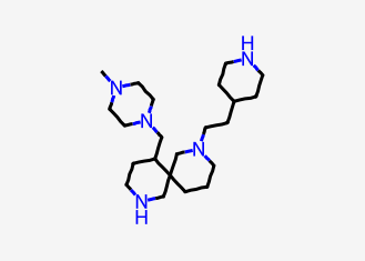 CN1CCN(CC2CCNCC23CCCN(CCC2CCNCC2)C3)CC1